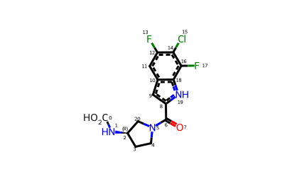 O=C(O)N[C@@H]1CCN(C(=O)c2cc3cc(F)c(Cl)c(F)c3[nH]2)C1